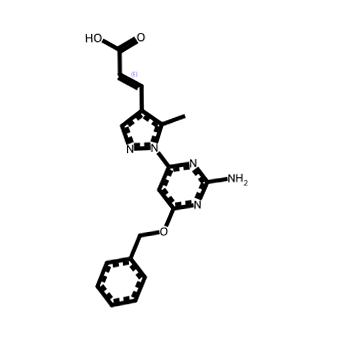 Cc1c(/C=C/C(=O)O)cnn1-c1cc(OCc2ccccc2)nc(N)n1